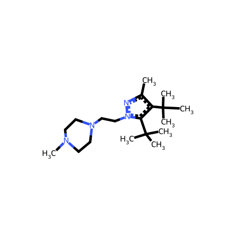 Cc1nn(CCN2CCN(C)CC2)c(C(C)(C)C)c1C(C)(C)C